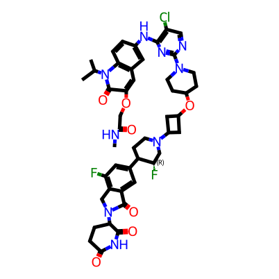 CNC(=O)COc1cc2cc(Nc3nc(N4CCC(OC5CC(N6CCC(c7cc(F)c8c(c7)C(=O)N(C7CCC(=O)NC7=O)C8)[C@@H](F)C6)C5)CC4)ncc3Cl)ccc2n(C(C)C)c1=O